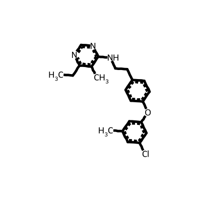 CCc1ncnc(NCCc2ccc(Oc3cc(C)cc(Cl)c3)cc2)c1C